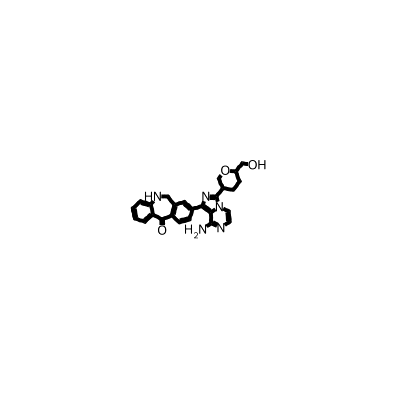 Nc1nccn2c(C3CCC(CO)OC3)nc(-c3ccc4c(c3)CNc3ccccc3C4=O)c12